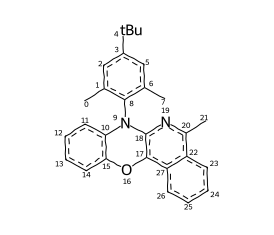 Cc1cc(C(C)(C)C)cc(C)c1N1c2ccccc2Oc2c1nc(C)c1ccccc21